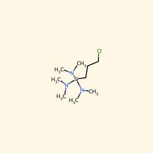 CN(C)[Si](CCCCl)(N(C)C)N(C)C